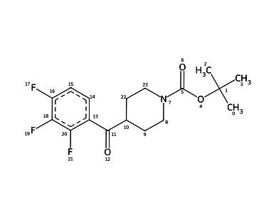 CC(C)(C)OC(=O)N1CCC(C(=O)c2ccc(F)c(F)c2F)CC1